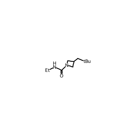 CCNC(=O)N1CC(CC(C)(C)C)C1